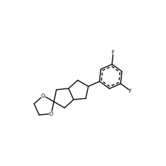 Fc1cc(F)cc(C2CC3CC4(CC3C2)OCCO4)c1